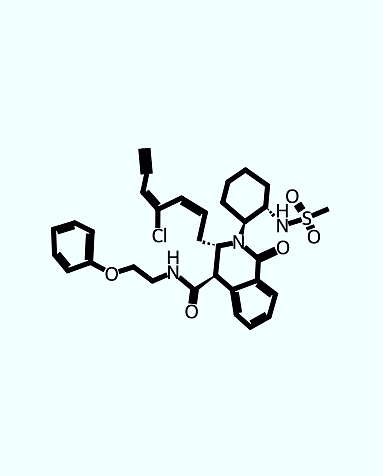 C#C/C=C(Cl)\C=C/C[C@H]1[C@H](C(=O)NCCOc2ccccc2)c2ccccc2C(=O)N1[C@H]1CCCC[C@@H]1NS(C)(=O)=O